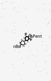 CCCCCOc1c(F)cc([C@H]2CC[C@H](CCCC)CC2)cc1F